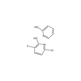 Oc1ccccn1.Oc1nc(Cl)ccc1F